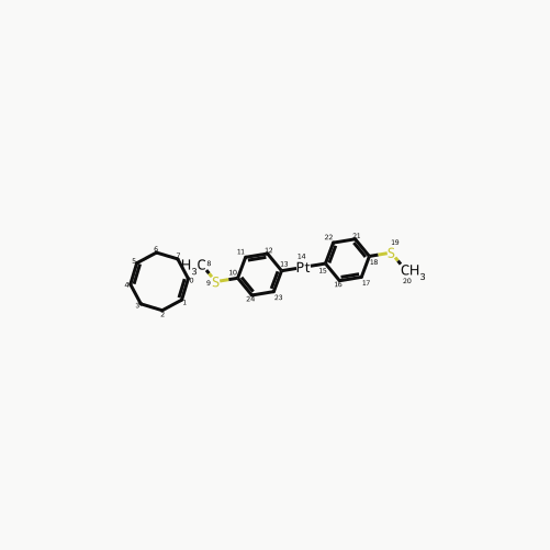 C1=CCCC=CCC1.CSc1cc[c]([Pt][c]2ccc(SC)cc2)cc1